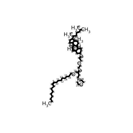 CCCCCCCC/C=C\CCCCCCCCOCC(CCN1CCOCC1)OCCOCCOC1CC[C@@]2(C)C(=CC[C@H]3C4CCC([C@H](C)CCCC(C)C)[C@@]4(C)CC[C@@H]32)C1